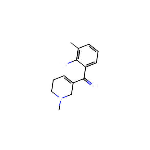 CCc1cccc(C(=N)C2=CCCN(C)C2)c1N